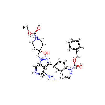 COc1cc(-c2nn(CC3(O)CCN(C(=O)OC(C)(C)C)CC3)c3cncc(N)c23)ccc1NC(=O)OCc1ccccc1